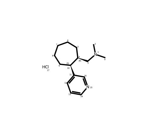 CN(C)C[C@@H]1CCCCC[C@@H]1c1cccnc1.Cl